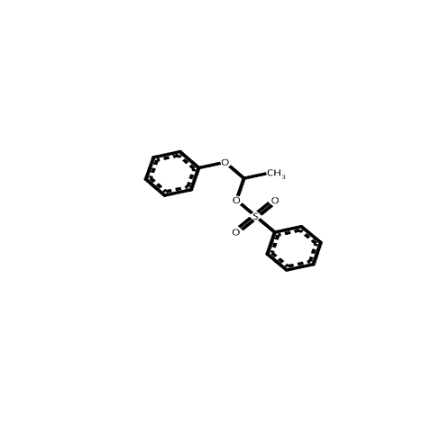 CC(Oc1ccccc1)OS(=O)(=O)c1ccccc1